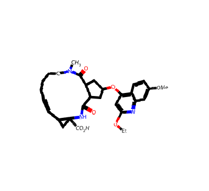 CCOc1cc(OC2CC3C(=O)NC4(C(=O)O)CC4C=CCCCCN(C)C(=O)C3C2)c2ccc(OC)cc2n1